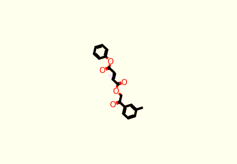 Cc1cccc(C(=O)COC(=O)/C=C/C(=O)Oc2ccccc2)c1